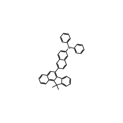 CC1(C)c2ccccc2-c2c(-c3ccc4cc(N(c5ccccc5)c5ccccc5)ccc4c3)cc3ccccc3c21